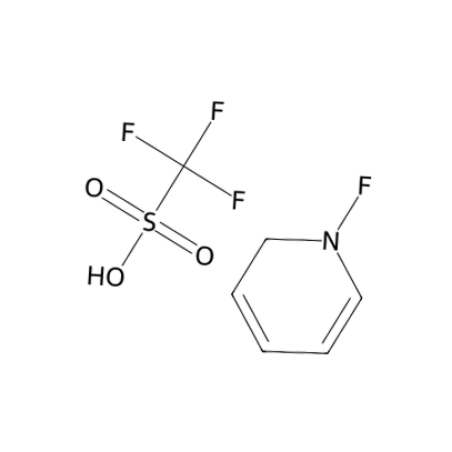 FN1C=CC=CC1.O=S(=O)(O)C(F)(F)F